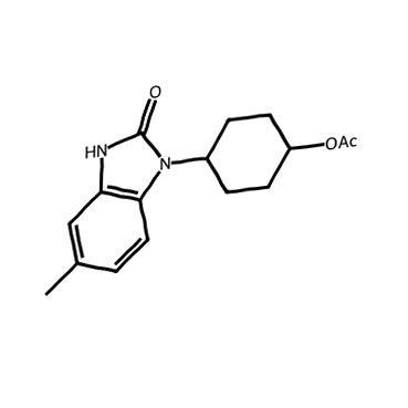 CC(=O)OC1CCC(n2c(=O)[nH]c3cc(C)ccc32)CC1